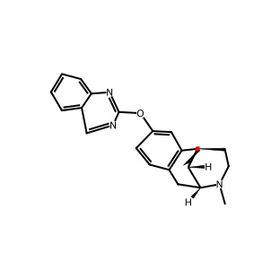 CN1CC[C@]23CCCC[C@H]2[C@H]1Cc1ccc(Oc2ncc4ccccc4n2)cc13